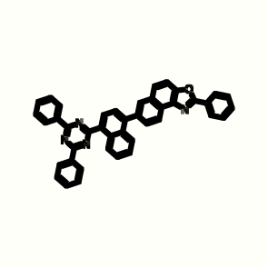 c1ccc(-c2nc(-c3ccccc3)nc(-c3ccc(-c4ccc5c(ccc6oc(-c7ccccc7)nc65)c4)c4ccccc34)n2)cc1